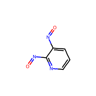 O=Nc1cccnc1N=O